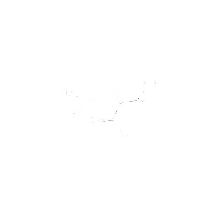 CC(OS(C)(=O)=O)C(=O)N(C)C